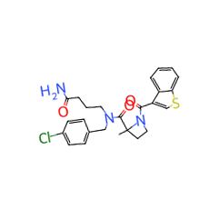 CC1(C(=O)N(CCCC(N)=O)Cc2ccc(Cl)cc2)CCN1C(=O)c1csc2ccccc12